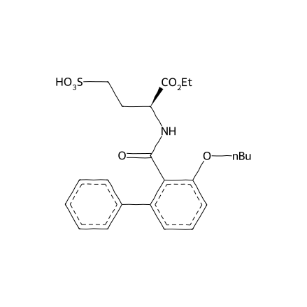 CCCCOc1cccc(-c2ccccc2)c1C(=O)N[C@@H](CCS(=O)(=O)O)C(=O)OCC